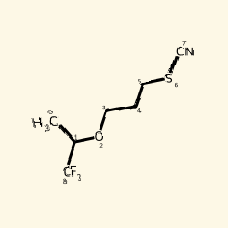 CC(OCCCSC#N)C(F)(F)F